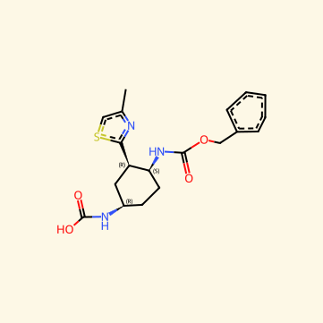 Cc1csc([C@@H]2C[C@H](NC(=O)O)CC[C@@H]2NC(=O)OCc2ccccc2)n1